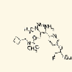 CCCCC(CF)Oc1ccc(/C(N)=C(\COC(=O)N(C)CC2CCC2)N(C)N)nc1